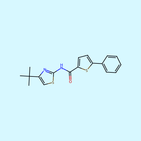 CC(C)(C)c1csc(NC(=O)c2ccc(-c3ccccc3)s2)n1